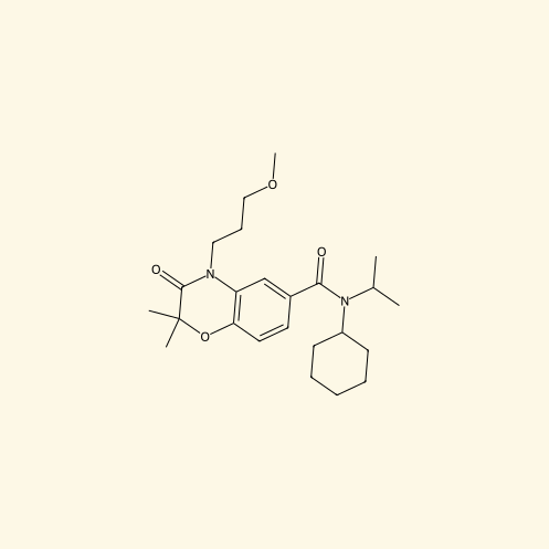 COCCCN1C(=O)C(C)(C)Oc2ccc(C(=O)N(C(C)C)C3CCCCC3)cc21